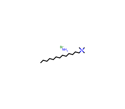 CCCCCCCCCCCCC[N+](C)(C)C.N.[Br-]